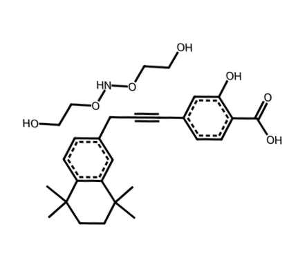 CC1(C)CCC(C)(C)c2cc(CC#Cc3ccc(C(=O)O)c(O)c3)ccc21.OCCONOCCO